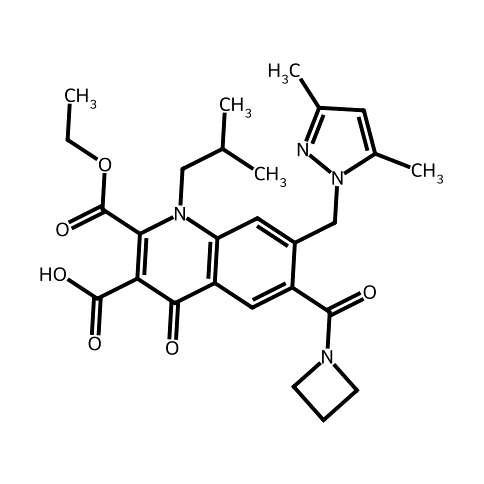 CCOC(=O)c1c(C(=O)O)c(=O)c2cc(C(=O)N3CCC3)c(Cn3nc(C)cc3C)cc2n1CC(C)C